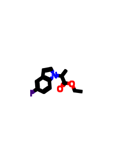 CCOC(=O)C(C)n1ccc2cc(I)ccc21